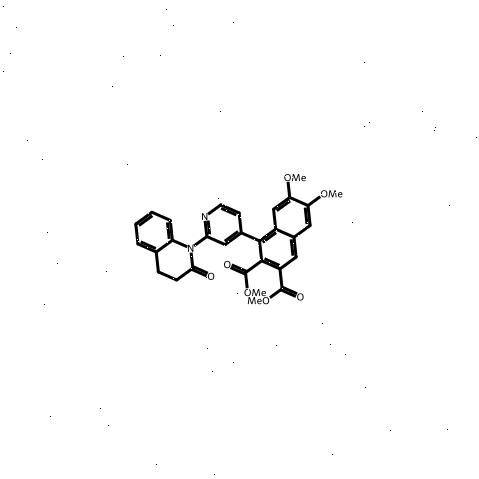 COC(=O)c1cc2cc(OC)c(OC)cc2c(-c2ccnc(N3C(=O)CCc4ccccc43)c2)c1C(=O)OC